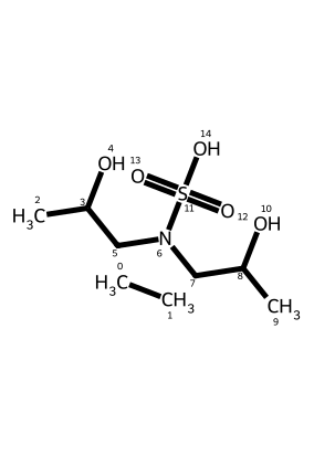 CC.CC(O)CN(CC(C)O)S(=O)(=O)O